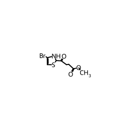 COC(=O)CCC(=O)C1NC(Br)=CS1